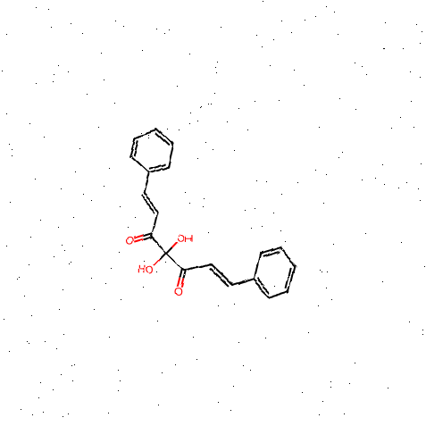 O=C(/C=C/c1ccccc1)C(O)(O)C(=O)/C=C/c1ccccc1